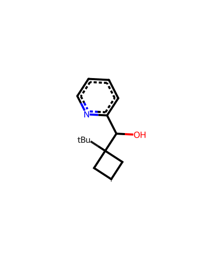 CC(C)(C)C1(C(O)c2ccccn2)C[CH]C1